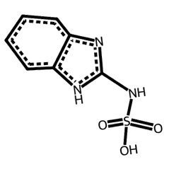 O=S(=O)(O)Nc1nc2ccccc2[nH]1